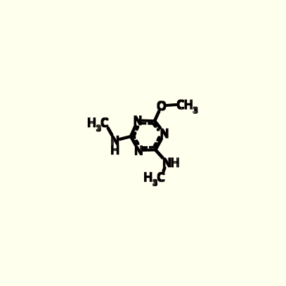 CNc1nc(NC)nc(OC)n1